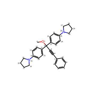 COC(C#Cc1ccccc1)(c1ccc(N2CCCC2)cc1)c1ccc(N2CCCC2)cc1